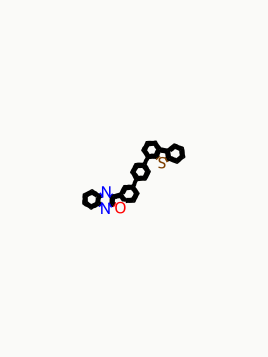 c1ccc2nc3c(nc2c1)oc1ccc(-c2ccc(-c4cccc5c4sc4ccccc45)cc2)cc13